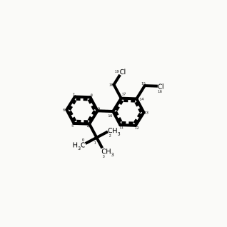 CC(C)(C)c1ccccc1-c1cccc(CCl)c1CCl